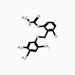 CNC(=O)Oc1cccc(Cl)c1COc1cc(C)c(C)cc1C